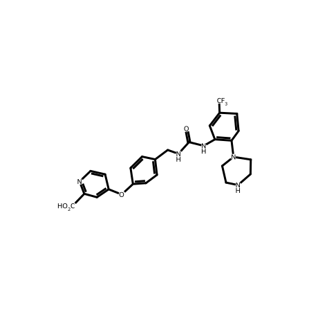 O=C(NCc1ccc(Oc2ccnc(C(=O)O)c2)cc1)Nc1cc(C(F)(F)F)ccc1N1CCNCC1